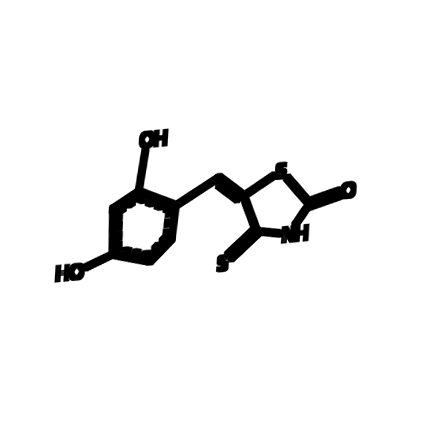 O=C1NC(=S)/C(=C\c2ccc(O)cc2O)S1